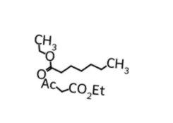 CCCCCCC(=O)OCC.CCOC(=O)CC(C)=O